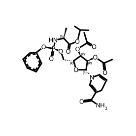 CC(=O)O[C@@H]1[C@H](OC(C)=O)[C@@H](COP(=O)(N[C@@H](C)C(=O)OC(C)C)Oc2ccccc2)O[C@H]1N1C=CCC(C(N)=O)=C1